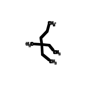 [CH2]CCC([CH2])(CC)CC